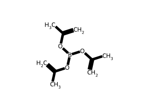 C=C(C)OB(OC(=C)C)OC(=C)C